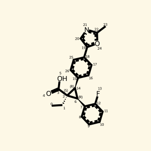 CC[C@@]1(C(=O)O)[C@H](c2ccccc2F)[C@@H]1c1ccc(-c2cnc(C)o2)cc1